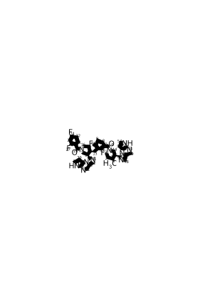 C[C@H]1CCN(C(=O)c2ccc(F)c(C[C@@H]3CCN(C(=O)c4ccc(F)cc4F)C[C@@H]3c3ncc4cnc5[nH]ccc5n34)c2F)C[C@H]1c1ncc2cnc3[nH]ccc3n12